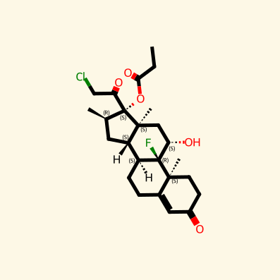 CCC(=O)O[C@@]1(C(=O)CCl)[C@H](C)C[C@H]2[C@@H]3CCC4=CC(=O)CC[C@]4(C)[C@@]3(F)[C@@H](O)C[C@@]21C